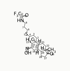 C[C@]12CCC(SCCCNC(=O)C(F)(F)F)CC1C(=NO)C[C@@H]1[C@H]2CC[C@]2(C)C(=O)CC[C@@H]12